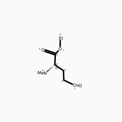 CCOC(=O)[C@H](CCC=O)NC